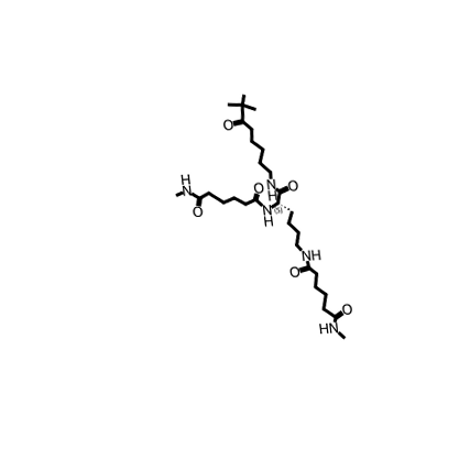 CNC(=O)CCCCC(=O)NCCCC[C@H](NC(=O)CCCCC(=O)NC)C(=O)NCCCCCC(=O)C(C)(C)C